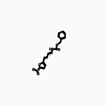 O=C(N/N=C/C=C/c1ccc([N+](=O)[O-])o1)OCc1ccccc1